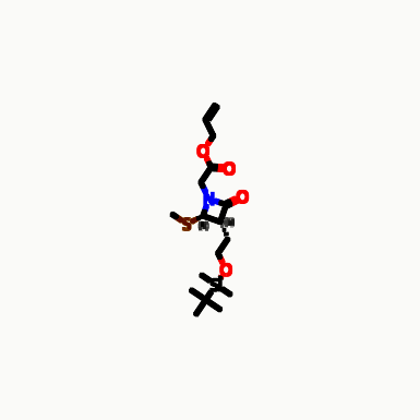 C=CCOC(=O)CN1C(=O)[C@H](CCO[Si](C)(C)C(C)(C)C)[C@H]1SC